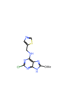 COc1nc2c(NCc3cncs3)nc(Cl)nc2[nH]1